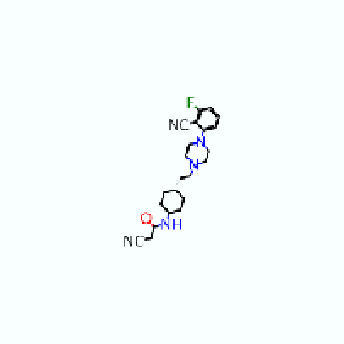 N#CCC(=O)N[C@H]1CC[C@H](CCN2CCN(c3cccc(F)c3C#N)CC2)CC1